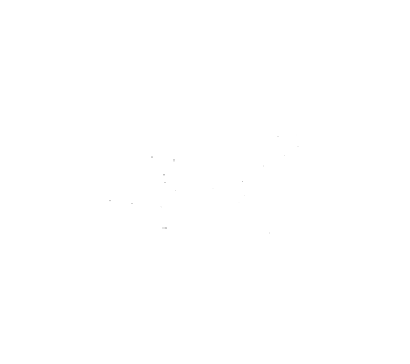 C1=CC2=CC(N3C(c4ccc5ccccc5c4)=CC3c3ccc(N4C5=c6ccccc6=C6C=Cc7ccccc7C6C5c5ccccc54)cc3)=CCC2C=C1